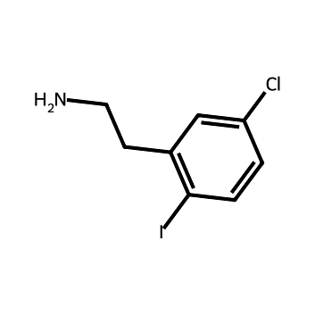 NCCc1cc(Cl)ccc1I